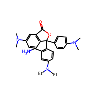 CCN(CC)c1ccc(C2(c3ccc(N(C)C)cc3)OC(=O)c3cc(N(C)C)ccc32)c(CN)c1